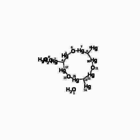 O.O.O.[Hg][CH]1[Hg][O][Hg][CH]([Hg])[Hg][O][Hg][CH]([Hg])[Hg][O][Hg]1